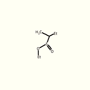 CCOS(=O)C(C)CC